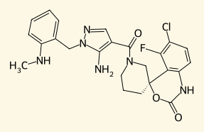 CNc1ccccc1Cn1ncc(C(=O)N2CCC[C@@]3(C2)OC(=O)Nc2ccc(Cl)c(F)c23)c1N